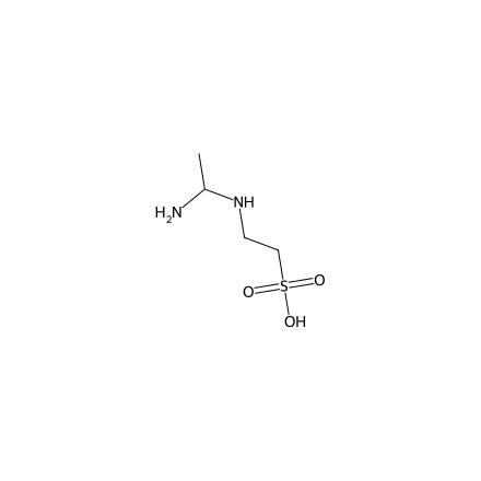 CC(N)NCCS(=O)(=O)O